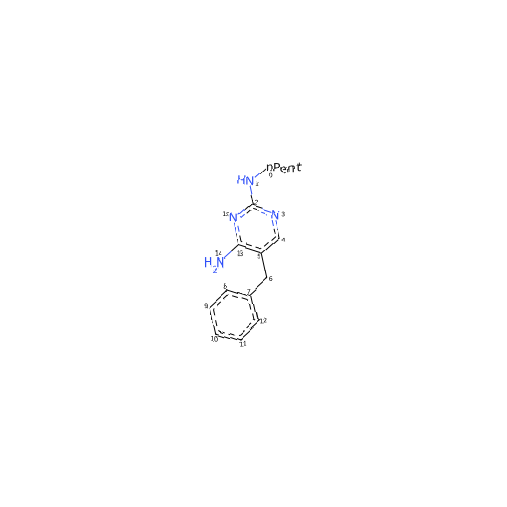 CCCCCNc1ncc(Cc2ccccc2)c(N)n1